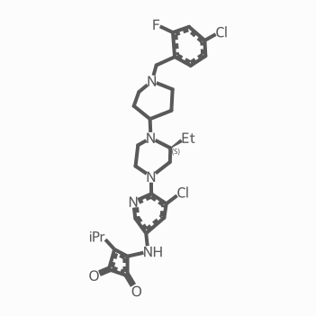 CC[C@H]1CN(c2ncc(Nc3c(C(C)C)c(=O)c3=O)cc2Cl)CCN1C1CCN(Cc2ccc(Cl)cc2F)CC1